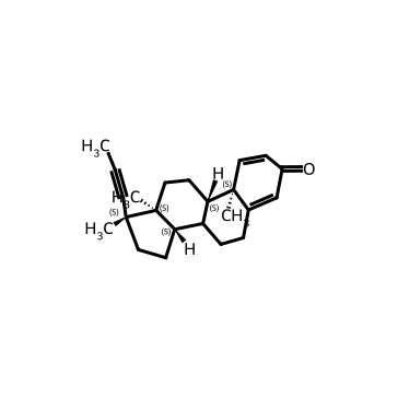 CC#C[C@@]1(C)CC[C@H]2C3CCC4=CC(=O)C=C[C@]4(C)[C@H]3CC[C@@]21C